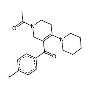 CC(=O)N1CCC(N2CCCCC2)=C(C(=O)c2ccc(F)cc2)C1